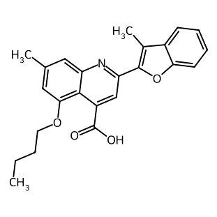 CCCCOc1cc(C)cc2nc(-c3oc4ccccc4c3C)cc(C(=O)O)c12